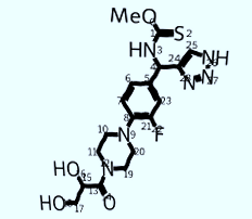 COC(=S)NC(c1ccc(N2CCN(C(=O)C(O)CO)CC2)c(F)c1)c1c[nH]nn1